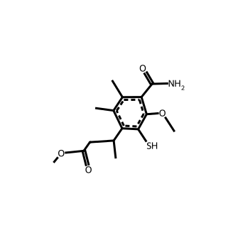 COC(=O)CC(C)c1c(C)c(C)c(C(N)=O)c(OC)c1S